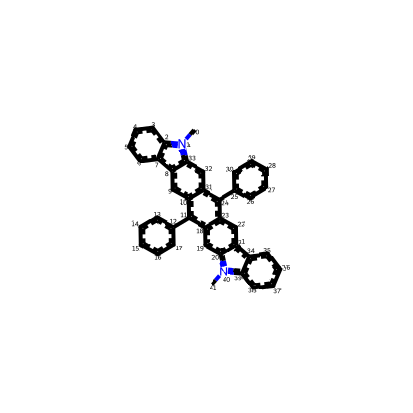 Cn1c2ccccc2c2cc3c(-c4ccccc4)c4cc5c(cc4c(-c4ccccc4)c3cc21)c1ccccc1n5C